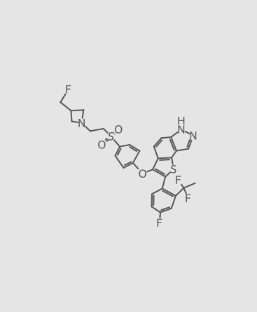 CC(F)(F)c1cc(F)ccc1-c1sc2c(ccc3[nH]ncc32)c1Oc1ccc(S(=O)(=O)CCN2CC(CF)C2)cc1